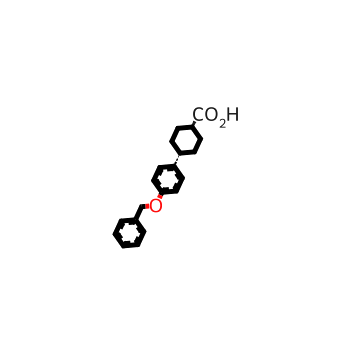 O=C(O)[C@H]1CC[C@H](c2ccc(OCc3ccccc3)cc2)CC1